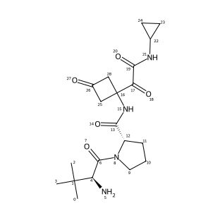 CC(C)(C)[C@H](N)C(=O)N1CCC[C@H]1C(=O)NC1(C(=O)C(=O)NC2CC2)CC(=O)C1